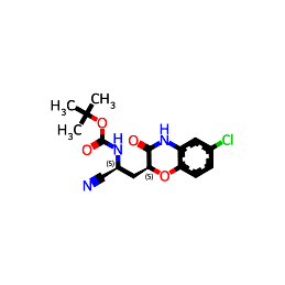 CC(C)(C)OC(=O)N[C@H](C#N)C[C@@H]1Oc2ccc(Cl)cc2NC1=O